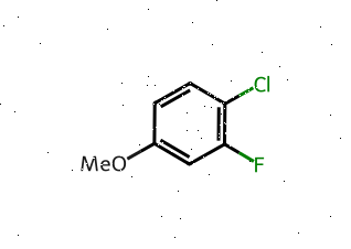 [CH2-][OH+]c1ccc(Cl)c(F)c1